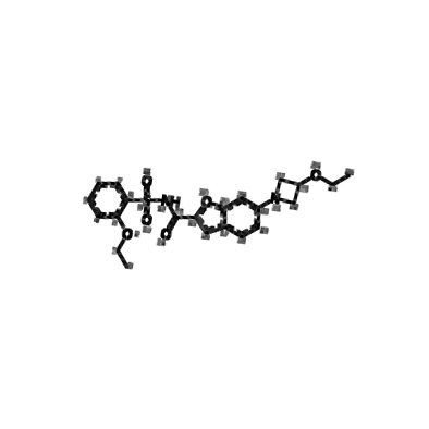 CCOc1ccccc1S(=O)(=O)NC(=O)c1cc2ccc(N3CC(OCC)C3)cc2o1